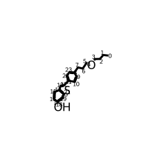 CCCCOCCCc1ccc(-c2cc3ccc(O)cc3s2)cc1